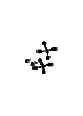 O=S(=O)(O)O.[Al+3].[Cl-].[O-][Si]([O-])(O)O